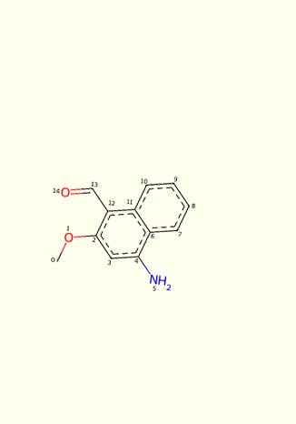 COc1cc(N)c2ccccc2c1C=O